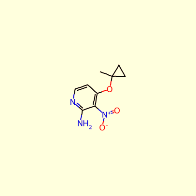 CC1(Oc2ccnc(N)c2[N+](=O)[O-])CC1